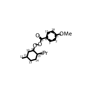 COc1ccc(C(=O)OO[C]2CC(C)CCC2C(C)C)cc1